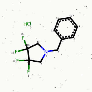 Cl.FC1(F)CN(Cc2ccccc2)CC1(F)F